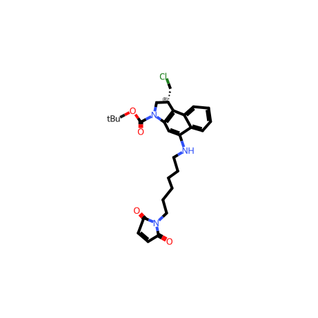 CC(C)(C)OC(=O)N1C[C@H](CCl)c2c1cc(NCCCCCCN1C(=O)C=CC1=O)c1ccccc21